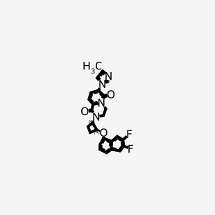 Cc1cn(-c2ccc3n(c2=O)CCN([C@H]2CC[C@@H]2Oc2cccc4cc(F)c(F)cc24)C3=O)cn1